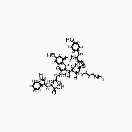 NCCCC[C@H](NC(=O)N[C@@H](Cc1ccc(O)cc1)C(=O)NCC(=O)N[C@@H](Cc1c[nH]c2ccccc12)C(=O)O)c1nc([C@@H](N)Cc2ccc(O)cc2)no1